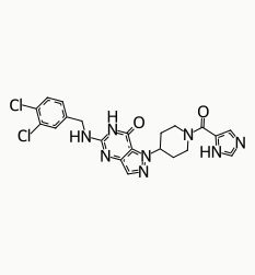 O=C(c1cnc[nH]1)N1CCC(n2ncc3nc(NCc4ccc(Cl)c(Cl)c4)[nH]c(=O)c32)CC1